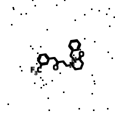 O=C(CCN1CCCC(=O)N1Cc1[c]cccc1)Cc1cccc(C(F)(F)F)c1